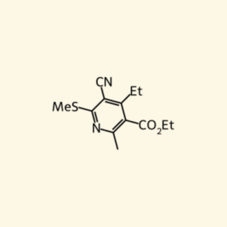 CCOC(=O)c1c(C)nc(SC)c(C#N)c1CC